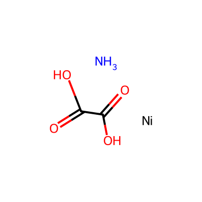 N.O=C(O)C(=O)O.[Ni]